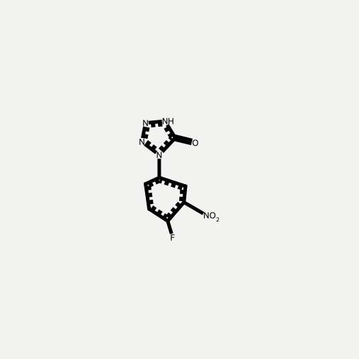 O=c1[nH]nnn1-c1ccc(F)c([N+](=O)[O-])c1